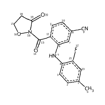 Cc1ccc(Nc2cc(C#N)ccc2C(=O)N2OCCC2=O)c(F)c1